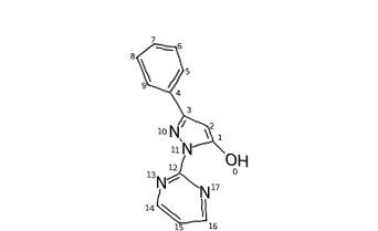 Oc1cc(-c2ccccc2)nn1-c1ncccn1